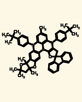 Cc1cc2c3c(c1)N(c1ccc(C(C)(C)C)cc1)c1cc4c(cc1B3C1=C(CC3(O1)c1ccccc1-c1ccccc13)N2c1ccc(C(C)(C)C)cc1)OC1(C)CC(C)(C)OC41C